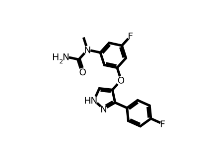 CN(C(N)=O)c1cc(F)cc(Oc2c[nH]nc2-c2ccc(F)cc2)c1